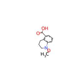 CON1CCCc2c(C(=O)O)cccc21